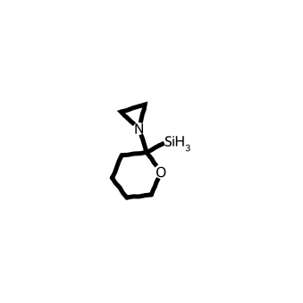 [SiH3]C1(N2CC2)CCCCO1